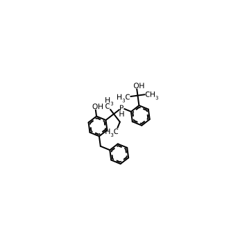 CCC(C)(Pc1ccccc1C(C)(C)O)c1cc(Cc2ccccc2)ccc1O